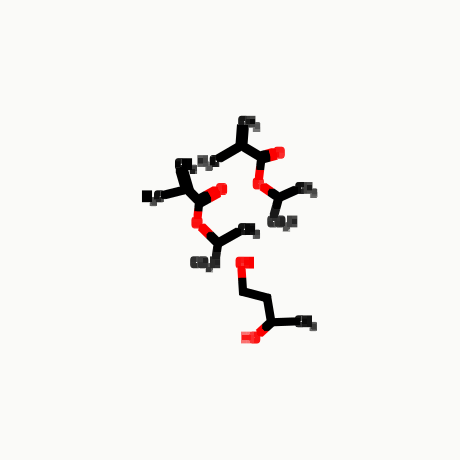 C=C(C)C(=O)OC(C)C(=O)O.C=C(C)C(=O)OC(C)C(=O)O.CC(O)CCO